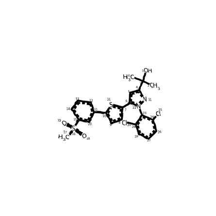 CC(C)(O)c1cc(-c2ccc(-c3cccc(S(C)(=O)=O)c3)s2)n(-c2c(Cl)cccc2Cl)n1